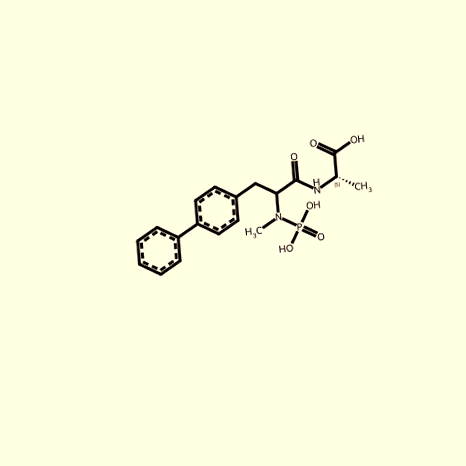 C[C@H](NC(=O)C(Cc1ccc(-c2ccccc2)cc1)N(C)P(=O)(O)O)C(=O)O